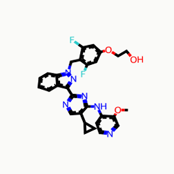 COc1cnccc1Nc1nc(-c2nn(Cc3c(F)cc(OCCO)cc3F)c3ccccc23)ncc1C1CC1